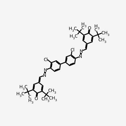 CC(C)(C)C1=CC(=C/N=N/c2ccc(-c3ccc(/N=N/C=C4C=C(C(C)(C)C)C(=O)C(C(C)(C)C)=C4)c(Cl)c3)cc2Cl)C=C(C(C)(C)C)C1=O